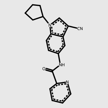 N#Cc1cn(C2CCCC2)c2ccc(NC(=O)c3ccccn3)cc12